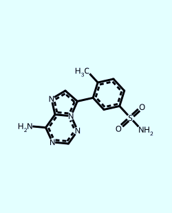 Cc1ccc(S(N)(=O)=O)cc1-c1cnc2c(N)ncnn12